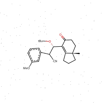 COc1cccc(C(C#N)[C@H](OC(C)(C)C)C2=C3CCC[C@@]3(C)CCC2=O)c1